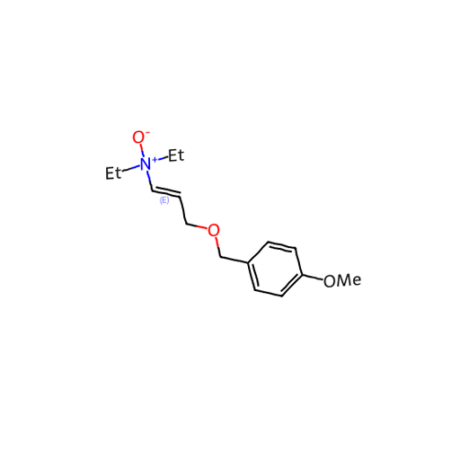 CC[N+]([O-])(/C=C/COCc1ccc(OC)cc1)CC